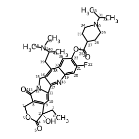 CC[C@@]1(O)C(=O)OCc2c1cc1n(c2=O)Cc2c-1nc1cc(F)c(OC(=O)C3CCN(C(C)C)CC3)cc1c2CC(C)N(C)C